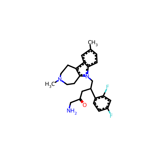 Cc1ccc2c(c1)c1c(n2CC(CC(=O)CN)c2ccc(F)cc2F)CCN(C)CC1